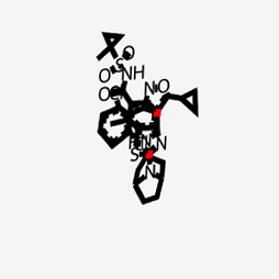 Cc1c(C(=O)NS(=O)(=O)C2(C)CC2)ccc2nc(N3C4CCC3CC(NCc3c(-c5c(Cl)cccc5Cl)noc3C3CC3)C4)sc12